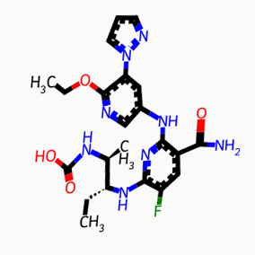 CCOc1ncc(Nc2nc(N[C@H](CC)[C@H](C)NC(=O)O)c(F)cc2C(N)=O)cc1-n1cccn1